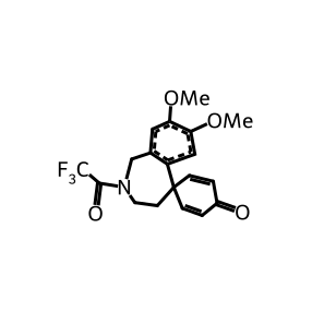 COc1cc2c(cc1OC)C1(C=CC(=O)C=C1)CCN(C(=O)C(F)(F)F)C2